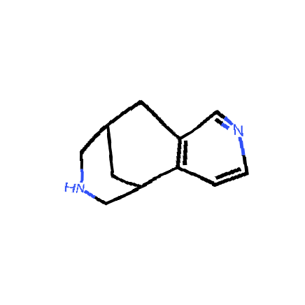 c1cc2c(cn1)CC1CNCC2C1